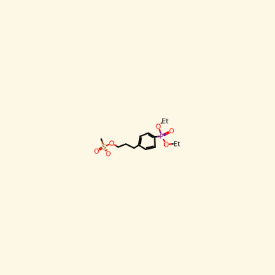 CCOP(=O)(OCC)c1ccc(CCCOS(C)(=O)=O)cc1